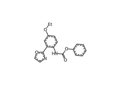 CCOc1ccc(NC(=O)Oc2ccccc2)c(-c2ncco2)c1